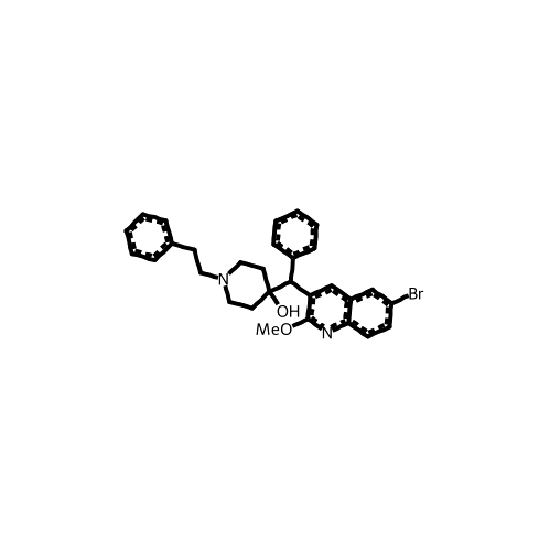 COc1nc2ccc(Br)cc2cc1C(c1ccccc1)C1(O)CCN(CCc2ccccc2)CC1